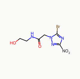 O=C(Cn1nc([N+](=O)[O-])nc1Br)NCCO